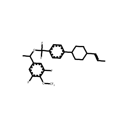 C/C=C/C1CCC(c2ccc(C(F)(F)OC(C)c3cc(F)c(OC(F)(F)F)c(F)c3)cc2)CC1